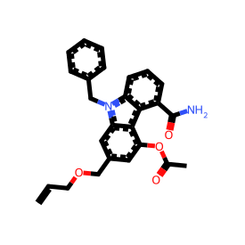 C=CCOCc1cc(OC(C)=O)c2c3c(C(N)=O)cccc3n(Cc3ccccc3)c2c1